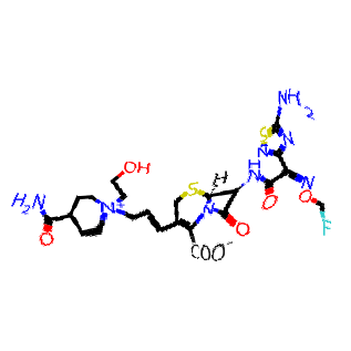 NC(=O)C1CC[N+](C/C=C/C2=C(C(=O)[O-])N3C(=O)[C@@H](NC(=O)/C(=N\OCF)c4nsc(N)n4)[C@@H]3SC2)(CCO)CC1